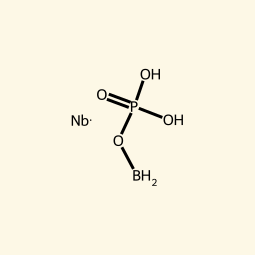 BOP(=O)(O)O.[Nb]